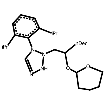 CCCCCCCCCCC(CN1NN=CN1c1c(C(C)C)cccc1C(C)C)OC1CCCCO1